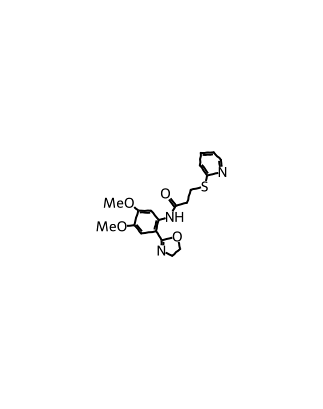 COc1cc(NC(=O)CCSc2ccccn2)c(C2=NCCO2)cc1OC